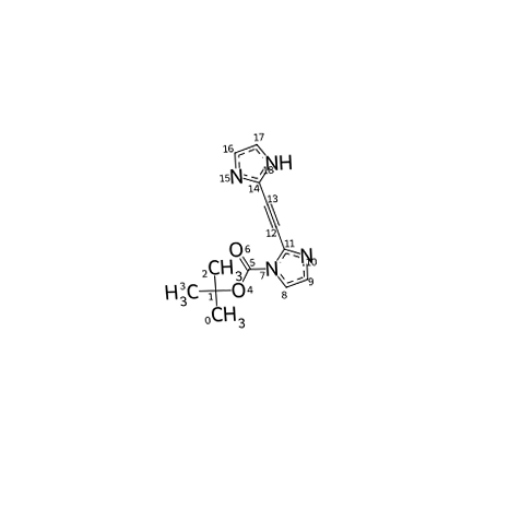 CC(C)(C)OC(=O)n1ccnc1C#Cc1ncc[nH]1